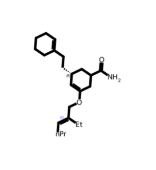 CCC/C=C(\CC)COC1=C[C@H](CCC2=CCCCC2)CC(C(N)=O)C1